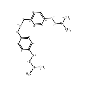 CN(C)SSc1ccc([CH2][Ni][CH2]c2ccc(SSN(C)C)cc2)cc1